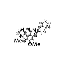 COc1cc2nc(N3CCc4ncccc4C3)nc(N)c2c(-c2ccccn2)c1OC